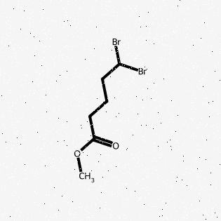 COC(=O)CCCC(Br)Br